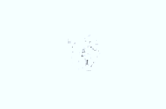 C=CC=CCCCC.CC(C)(C)CCP(CCC(C)(C)C)(CCC(C)(C)C)=NC1=CC=CC1.[Ti]